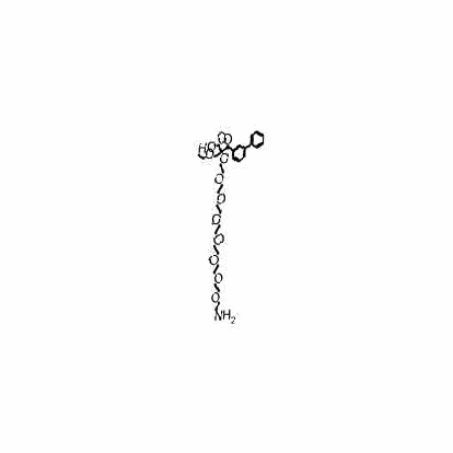 CCOCC(OCCOCCOCCOCCOCCOCCOCCOCCN)(C(=O)O)C(=O)c1cccc(-c2ccccc2)c1